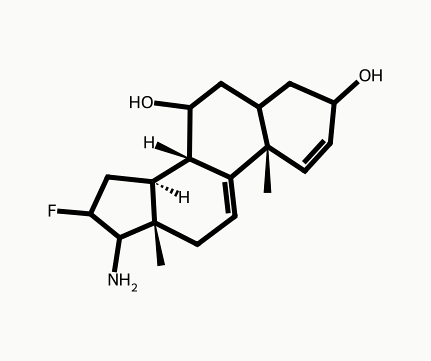 C[C@]12C=CC(O)CC1CC(O)[C@@H]1C2=CC[C@]2(C)C(N)C(F)C[C@@H]12